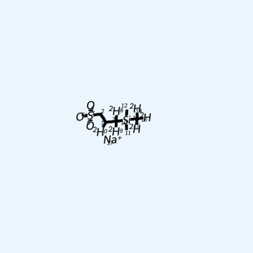 [2H]C(CS(=O)(=O)[O-])C([2H])([2H])[Si](C)(C)C([2H])([2H])[2H].[Na+]